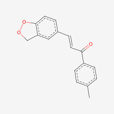 Cc1ccc(C(=O)C=Cc2ccc3c(c2)COO3)cc1